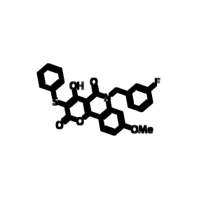 COc1ccc2c3oc(=O)c(Sc4ccccc4)c(O)c3c(=O)n(Cc3cccc(F)c3)c2c1